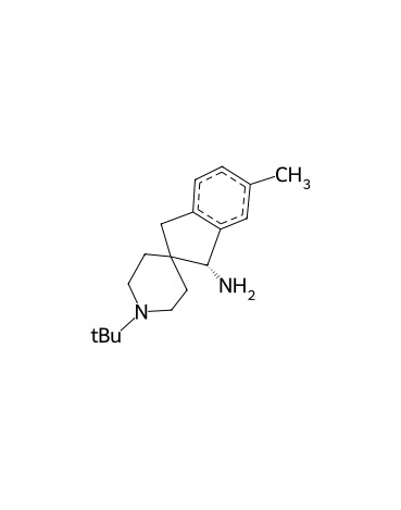 Cc1ccc2c(c1)[C@H](N)C1(CCN(C(C)(C)C)CC1)C2